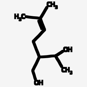 CC(C)=CCC(CO)C(C)O